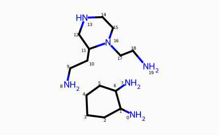 NC1CCCCC1N.NCCC1CNCCN1CCN